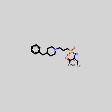 COC(=O)[C@H](CC(C)C)NS(=O)(=O)CCCN1CCC(Cc2ccccc2)CC1